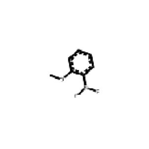 COc1ccccc1N(F)F